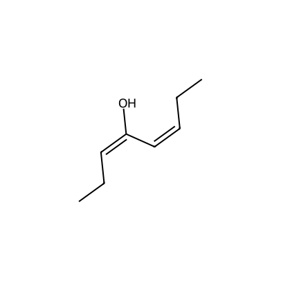 CC/C=C\C(O)=C/CC